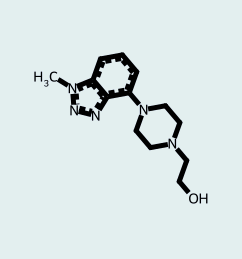 Cn1nnc2c(N3CCN(CCO)CC3)cccc21